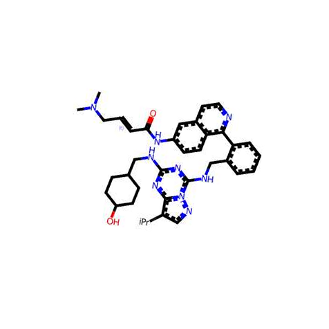 CC(C)c1cnn2c(NCc3ccccc3-c3nccc4cc(NC(=O)/C=C/CN(C)C)ccc34)nc(NCC3CCC(O)CC3)nc12